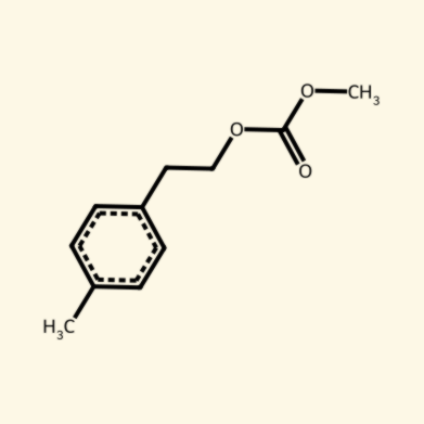 COC(=O)OCCc1ccc(C)cc1